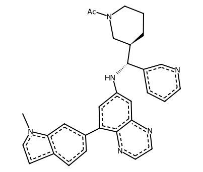 CC(=O)N1CCC[C@@H]([C@@H](Nc2cc(-c3ccc4ccn(C)c4c3)c3nccnc3c2)c2cccnc2)C1